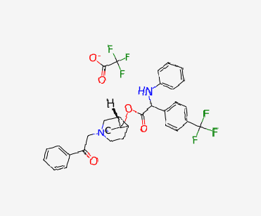 O=C(C[N+]12CCC(CC1)[C@@H](OC(=O)C(Nc1ccccc1)c1ccc(C(F)(F)F)cc1)C2)c1ccccc1.O=C([O-])C(F)(F)F